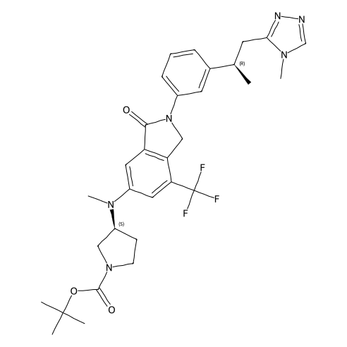 C[C@H](Cc1nncn1C)c1cccc(N2Cc3c(cc(N(C)[C@H]4CCN(C(=O)OC(C)(C)C)C4)cc3C(F)(F)F)C2=O)c1